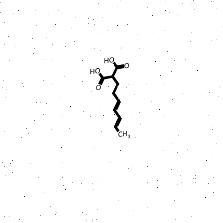 CC=CC=CCCC(C(=O)O)C(=O)O